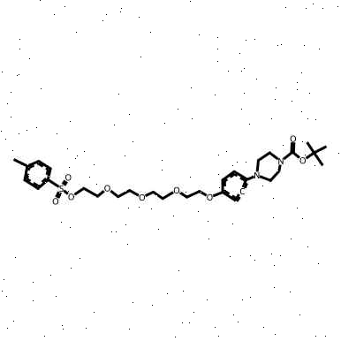 Cc1ccc(S(=O)(=O)OCCOCCOCCOCCOc2ccc(N3CCN(C(=O)OC(C)(C)C)CC3)cc2)cc1